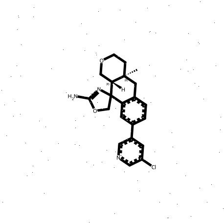 C[C@@]12CCOC[C@H]1C1(COC(N)=N1)c1cc(-c3cncc(Cl)c3)ccc1C2